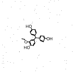 CCOc1cc(C(c2ccc(O)cc2)c2ccc(O)cc2)ccc1O